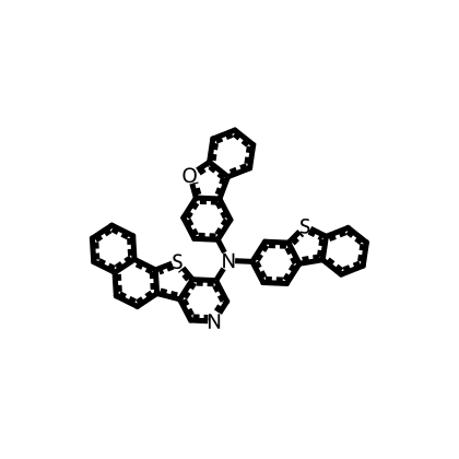 c1ccc2c(c1)ccc1c3cncc(N(c4ccc5c(c4)sc4ccccc45)c4ccc5oc6ccccc6c5c4)c3sc21